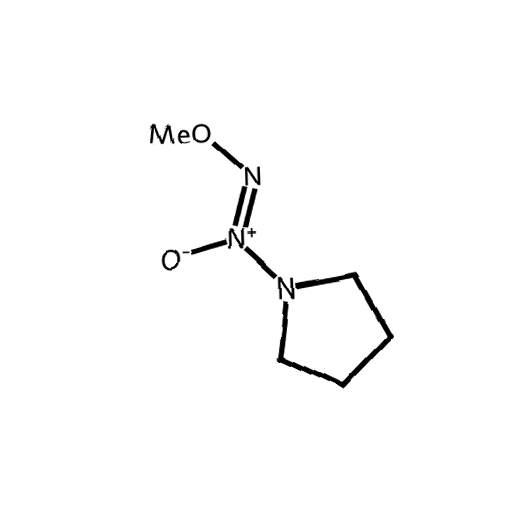 CO/N=[N+](\[O-])N1CCCC1